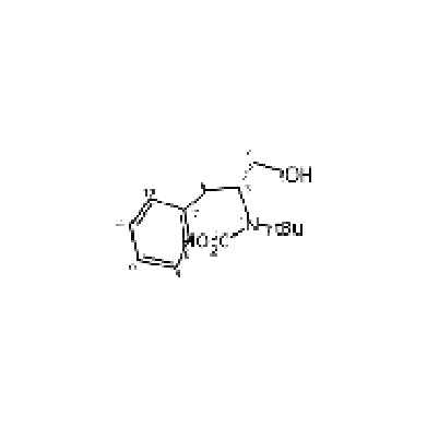 CC(C)(C)N(C(=O)O)[C@@H](CO)Cc1ccccc1